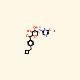 O=C(c1ccc(CC2CCC2)cc1)C1OC[C@H](Nc2cncc(C(F)(F)F)n2)[C@@H](O)[C@H]1O